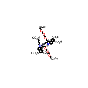 CC[N+]1=C(/C=C/C=C2/N(CCCCCC(=O)O)c3ccc4c(S(=O)(=O)O)cc(S(=O)(=O)O)cc4c3C2(C)CCOCCOCCOCCOC)C(C)(CCOCCOCCOCCOC)c2c1ccc1c(S(=O)(=O)O)cc(S(=O)(=O)O)cc21